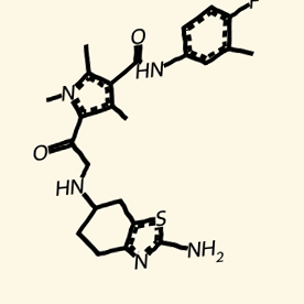 Cc1cc(NC(=O)c2c(C)c(C(=O)CNC3CCc4nc(N)sc4C3)n(C)c2C)ccc1F